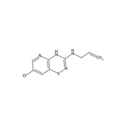 C=CCNC1=NSc2cc(Cl)cnc2N1